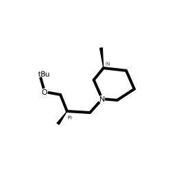 C[C@H]1CCCN(C[C@@H](C)COC(C)(C)C)C1